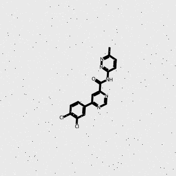 Cc1ccc(NC(=O)c2cc(-c3ccc(Cl)c(Cl)c3)ncn2)nn1